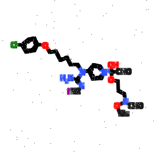 CC(C)(C)ON(C=O)CCCOC(O)(C=O)[n+]1ccc(N(CCCCCCOc2ccc(Cl)cc2)C(N)=NC#N)cc1.[I-]